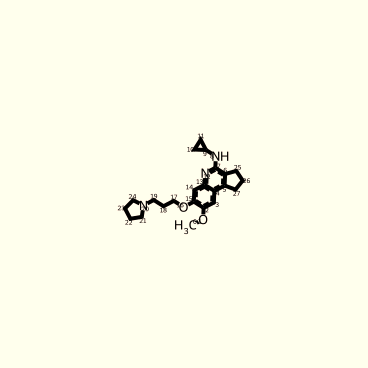 COc1cc2c3c(c(NC4CC4)nc2cc1OCCCN1CCCC1)CCC3